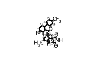 C=C1C=NC(C2(CNC(=O)c3cc(F)ccc3-c3ccc(C(F)(F)F)cc3)NC(=O)NC2=O)=C1C(F)(F)F